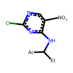 CCC(Nc1nc(Cl)ncc1[N+](=O)[O-])C(C)=O